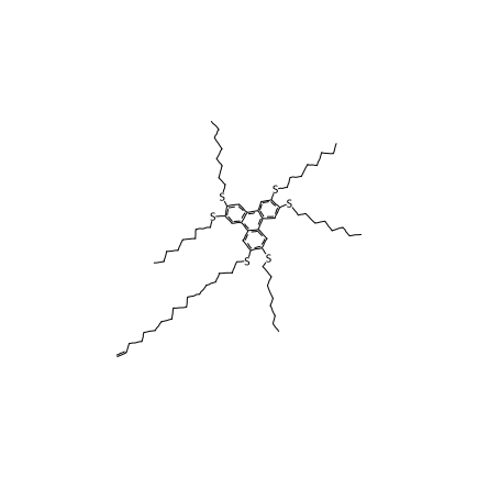 C=CCCCCCCCCCCCCCCCSc1cc2c3cc(SCCCCCCCC)c(SCCCCCCCC)cc3c3cc(SCCCCCCCC)c(SCCCCCCCC)cc3c2cc1SCCCCCCCC